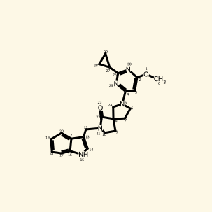 COc1cc(N2CCC3(CCN(Cc4c[nH]c5ccccc45)C3=O)C2)nc(C2CC2)n1